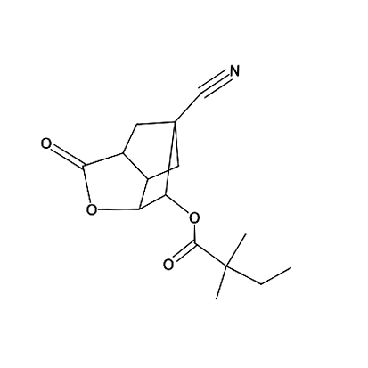 CCC(C)(C)C(=O)OC1C2OC(=O)C3CC1(C#N)CC32